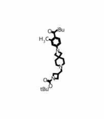 CCC(C)C(=O)c1ccc(N2CC3(CCN(CC4CN(C(=O)OC(C)(C)C)C4)CC3)C2)cc1C